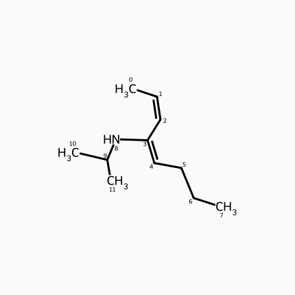 C/C=C\C(=C/CCC)NC(C)C